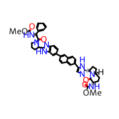 COC(=O)N[C@H]1CC[C@H]2CC[C@@H](c3ncc(-c4ccc5cc(-c6ccc7nc(C8CCCN8C(=O)[C@H](NC(=O)OC)c8ccccc8)[nH]c7c6)ccc5c4)[nH]3)N2C1=O